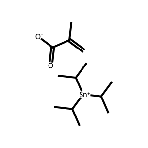 C=C(C)C(=O)[O-].C[CH](C)[Sn+]([CH](C)C)[CH](C)C